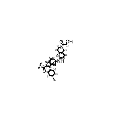 CN(C)C(=O)c1sc2cnc(Nc3ccc4c(n3)CCN(C(=O)CO)C4)nc2c1[C@H]1CC[C@H](C)CC1